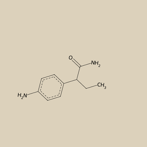 CCC(C(N)=O)c1ccc(N)cc1